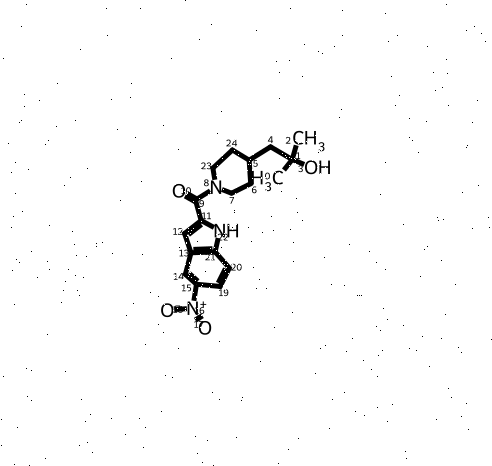 CC(C)(O)CC1CCN(C(=O)c2cc3cc([N+](=O)[O-])ccc3[nH]2)CC1